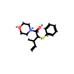 C=CC(C)C(Sc1ccccc1)C(=O)N1CCOCC1